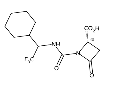 O=C(O)[C@@H]1CC(=O)N1C(=O)NC(C1CCCCC1)C(F)(F)F